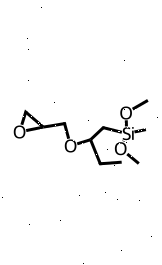 CCC(C[Si](C)(OC)OC)OCC1CO1